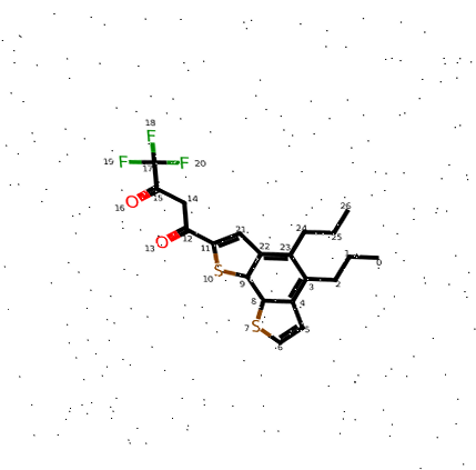 CCCC1=C2C=CSC2C2SC(C(=O)CC(=O)C(F)(F)F)=CC2=C1CCC